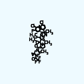 CC(C)C1=C(C(=O)N2[C@@H](C)CC[C@H]2C(=O)N2CC3(CC3)N(C(=O)C(F)(F)F)C[C@@H]2C)SC2=N[C@@](C)(c3ccc(Cl)nc3)[C@@H](c3ccc(Cl)c(F)c3)N21